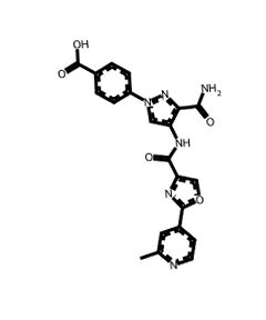 Cc1cc(-c2nc(C(=O)Nc3cn(-c4ccc(C(=O)O)cc4)nc3C(N)=O)co2)ccn1